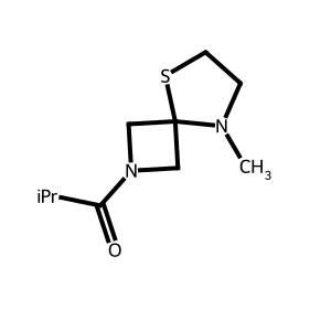 CC(C)C(=O)N1CC2(C1)SCCN2C